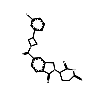 O=C1CCC(N2Cc3cc(C(=O)N4CC(c5cccc(F)c5)C4)ccc3C2=O)C(=O)N1